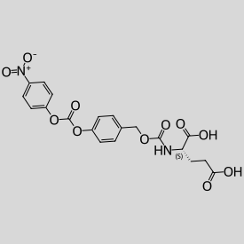 O=C(O)CC[C@H](NC(=O)OCc1ccc(OC(=O)Oc2ccc([N+](=O)[O-])cc2)cc1)C(=O)O